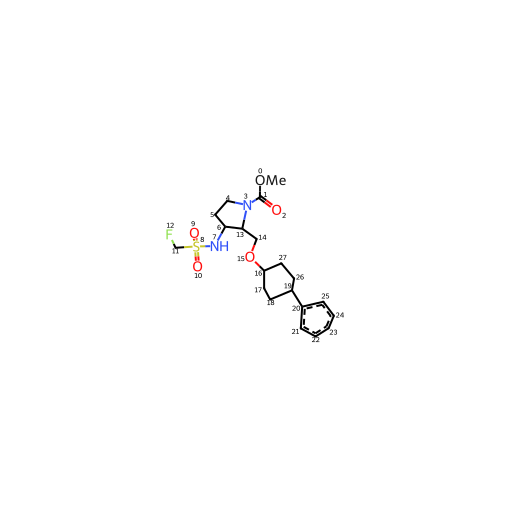 COC(=O)N1CCC(NS(=O)(=O)CF)C1COC1CCC(c2ccccc2)CC1